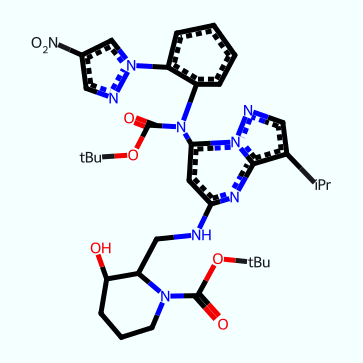 CC(C)c1cnn2c(N(C(=O)OC(C)(C)C)c3ccccc3-n3cc([N+](=O)[O-])cn3)cc(NCC3C(O)CCCN3C(=O)OC(C)(C)C)nc12